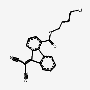 N#CC(C#N)=C1c2ccccc2-c2c(C(=O)OCCCCCl)cccc21